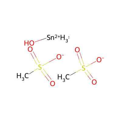 CS(=O)(=O)[O-].CS(=O)(=O)[O-].[OH][SnH3+2]